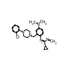 C=N/C(=N\c1ccc(N(C)C)cc1CN1CCN(c2ccccc2Cl)CC1)C1CC1